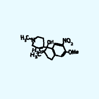 COc1cc2c(cc1[N+](=O)[O-])C(O)(C1CCN(C)CC1)C(C)(C)CC2